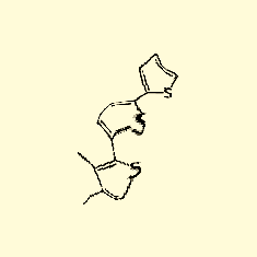 Cc1csc(-c2ccc(-c3cccs3)s2)c1C